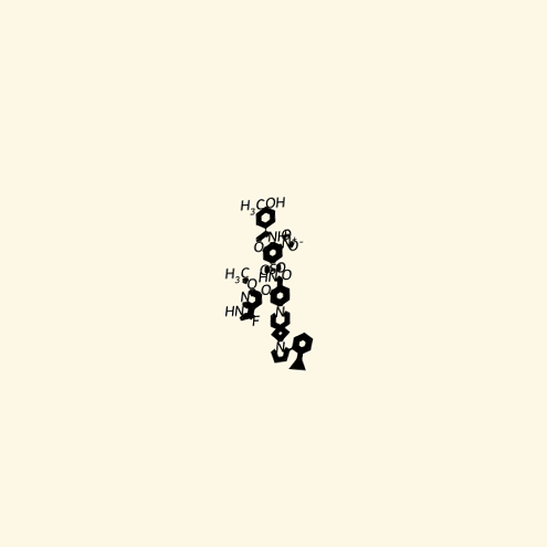 CCOc1nc2[nH]cc(F)c2cc1Oc1cc(N2CCC3(CC2)CC(N2CCC[C@@H]2c2ccccc2C2CC2)C3)ccc1C(=O)NS(=O)(=O)c1cc2c(c([N+](=O)[O-])c1)N[C@@H](C1CCC(C)(O)CC1)CO2